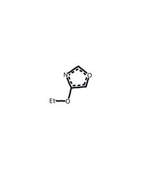 CCOc1cocn1